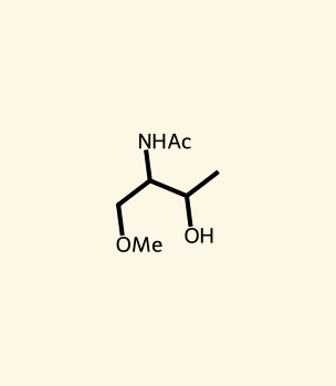 COCC(NC(C)=O)C(C)O